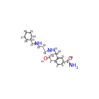 CO[C@@H]1Cc2ccc(C(N)=O)cc2C(C)(C)[C@H]1NCCCNCc1ccccc1